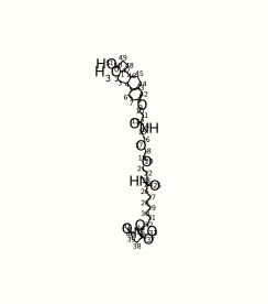 CC12CCC3c4ccc(OCCC(=O)NCCOCCOCCNC(=O)CCCCCCC(=O)ON5C(=O)CCC5=O)cc4CCC3C1CCC2O